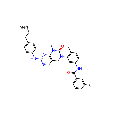 CNCCc1ccc(Nc2ncc3c(n2)N(C)C(=O)N(c2cc(NC(=O)c4cccc(C(F)(F)F)c4)ccc2C)C3)cc1